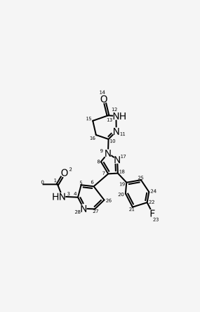 CC(=O)Nc1cc(-c2cn(C3=NNC(=O)CC3)nc2-c2ccc(F)cc2)ccn1